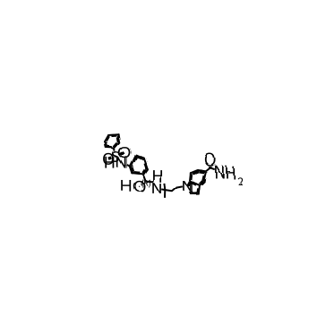 CC(C)(CCn1ccc2cc(C(N)=O)ccc21)NC[C@H](O)c1cccc(NS(=O)(=O)c2ccccc2)c1